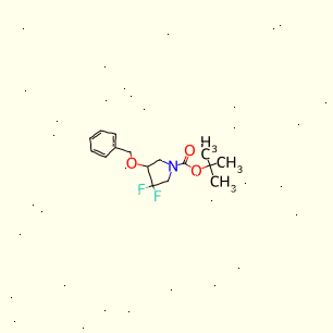 CC(C)(C)OC(=O)N1CC(OCc2ccccc2)C(F)(F)C1